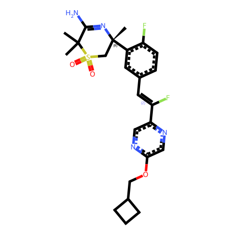 CC1(C)C(N)=N[C@](C)(c2cc(/C=C(\F)c3cnc(OCC4CCC4)cn3)ccc2F)CS1(=O)=O